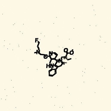 CC[C@H](CN1[C@H](c2ccnc(OCCN(C)CCCF)c2C)c2[nH]c3ccccc3c2C[C@H]1C)C(=O)OC